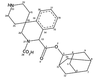 O=C(OC1C2CC3CC(C2)CC1C3)C1c2ccccc2C2(CCNCC2)CN1C(=O)O